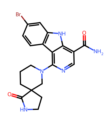 NC(=O)c1cnc(N2CCCC3(CCNC3=O)C2)c2c1[nH]c1cc(Br)ccc12